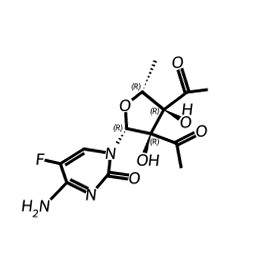 CC(=O)[C@@]1(O)[C@@H](C)O[C@@H](n2cc(F)c(N)nc2=O)[C@@]1(O)C(C)=O